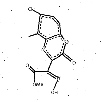 COC(=O)C(=NO)c1nc2c(C)c(Cl)ccc2oc1=O